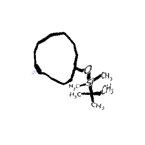 CC(C)(C)[Si](C)(C)OC1CCC/C=C\CCCCCC1